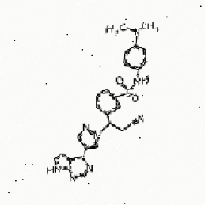 CN(C)c1ccc(NS(=O)(=O)c2cccc(C(CC#N)n3cc(-c4ncnc5[nH]ccc45)cn3)c2)cc1